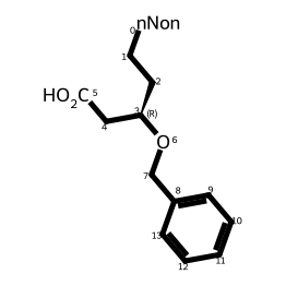 CCCCCCCCCCC[C@H](CC(=O)O)OCc1ccccc1